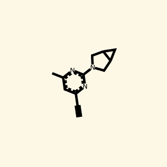 C#Cc1cc(C)nc(N2CC3CC3C2)n1